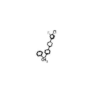 C[C@@H](Cc1ccc(C2CCC(c3ccc(Cl)c(F)c3)CC2)cc1)c1ccccc1